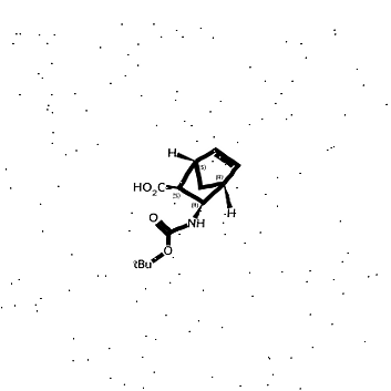 CC(C)(C)OC(=O)N[C@H]1[C@@H](C(=O)O)[C@@H]2C=C[C@H]1C2